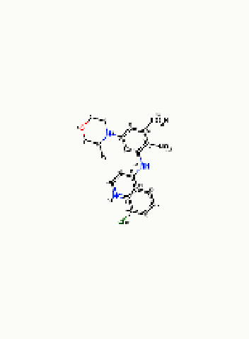 C[C@H]1COCCN1c1cc(Nc2ccnc3c(Cl)cccc23)c([N+](=O)[O-])c(C(=O)O)c1